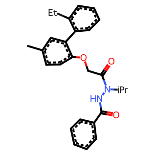 CCc1ccccc1-c1cc(C)ccc1OCC(=O)N(NC(=O)c1ccccc1)C(C)C